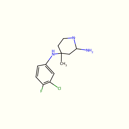 CC1(Nc2ccc(F)c(Cl)c2)CC[N]C(N)C1